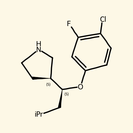 CC(C)C[C@H](Oc1ccc(Cl)c(F)c1)[C@H]1CCNC1